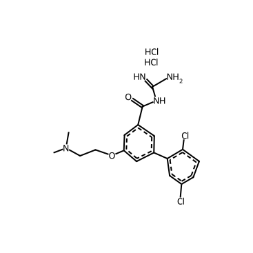 CN(C)CCOc1cc(C(=O)NC(=N)N)cc(-c2cc(Cl)ccc2Cl)c1.Cl.Cl